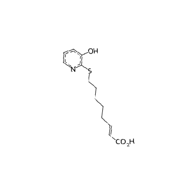 O=C(O)C=CCCCCCSc1ncccc1O